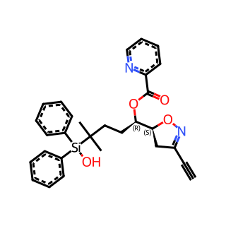 C#CC1=NO[C@H]([C@@H](CCC(C)(C)[Si](O)(c2ccccc2)c2ccccc2)OC(=O)c2ccccn2)C1